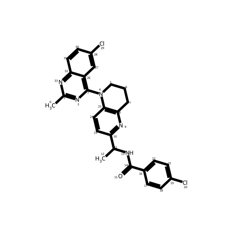 Cc1nc(N2CCCc3nc(C(C)NC(=O)c4ccc(Cl)cc4)ccc32)c2cc(Cl)ccc2n1